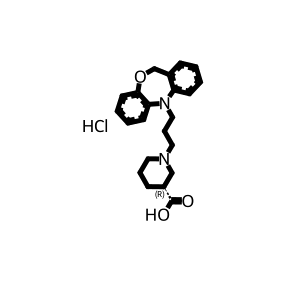 Cl.O=C(O)[C@@H]1CCCN(CCCN2c3ccccc3COc3ccccc32)C1